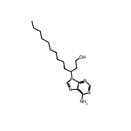 CCCCCCCCCCC(CCO)n1cnc2c(N)ncnc21